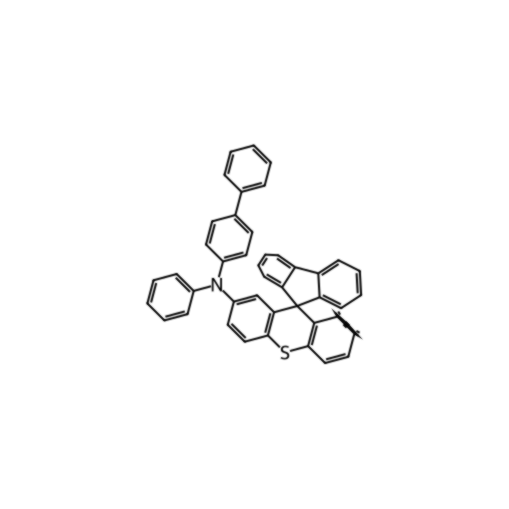 c1ccc(-c2ccc(N(c3ccccc3)c3ccc4c(c3)C3(c5ccccc5-c5ccccc53)c3c(ccc5ccccc35)S4)cc2)cc1